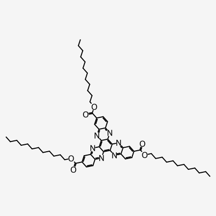 CCCCCCCCCCCCOC(=O)c1ccc2nc3c4nc5ccc(C(=O)OCCCCCCCCCCCC)cc5nc4c4nc5cc(C(=O)OCCCCCCCCCCCC)ccc5nc4c3nc2c1